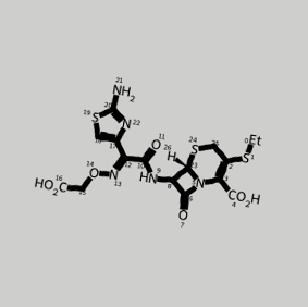 CCSC1=C(C(=O)O)N2C(=O)C(NC(=O)C(=NOCC(=O)O)c3csc(N)n3)[C@@H]2SC1